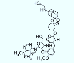 C#CCNC12CC3CC(C1)C1(OO[C@@]4(CCCC(OC(=O)N[C@@H](Cc5ccc(OC)cc5)C(=O)N[C@H]5[C@@H](O)[C@H](n6cnc7c(N(C)C)ncnc76)O[C@@H]5CO)C4)O1)C(C3)C2